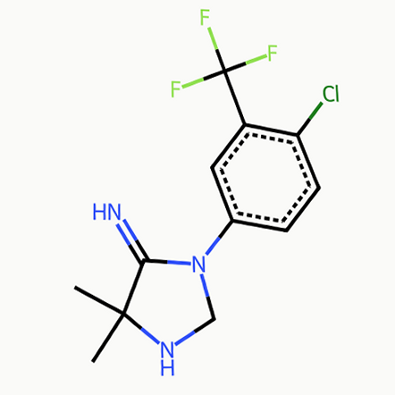 CC1(C)NCN(c2ccc(Cl)c(C(F)(F)F)c2)C1=N